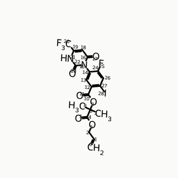 C=CCOC(=O)C(C)(C)OC(=O)c1cc(-n2c(=O)cc(C(F)(F)F)[nH]c2=O)c(F)cc1I